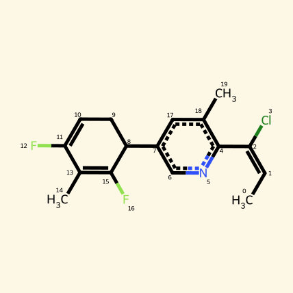 C/C=C(/Cl)c1ncc(C2CC=C(F)C(C)=C2F)cc1C